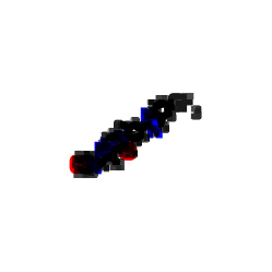 Cc1cc(-c2ncc3cc(C(F)(F)F)ccc3n2)ccc1N1CCn2nc(CN3CCOCC3)c(C)c2C1=O